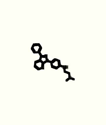 CN(C)CCNc1ccc(-n2nc(-c3ccccc3)c3cccnc32)cc1